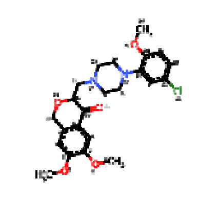 COc1cc2c(cc1OC)C(=O)C(CN1CCN(c3cc(Cl)ccc3OC)CC1)OC2